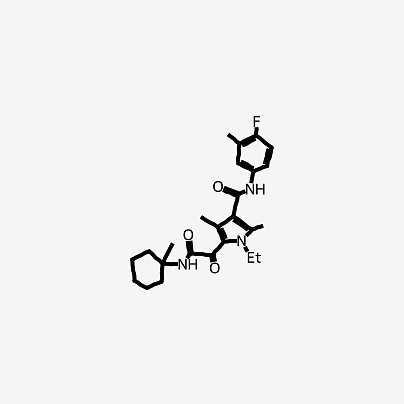 CCn1c(C)c(C(=O)Nc2ccc(F)c(C)c2)c(C)c1C(=O)C(=O)NC1(C)CCCCC1